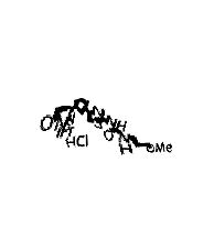 COCCCNCC(=O)Nc1nc(-c2cccc(-c3ccc(=O)n(C(C)C)n3)c2)cs1.Cl